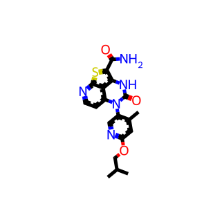 Cc1cc(OCC(C)C)ncc1N1C(=O)Nc2c(C(N)=O)sc3nccc1c23